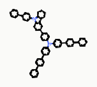 c1ccc(-c2ccc(-c3ccc(N(c4ccc(-c5ccc(-c6ccccc6)cc5)cc4)c4ccc(-c5ccc6c(c5)c5ccccc5n6-c5ccc(-c6ccccc6)cc5)cc4)cc3)cc2)cc1